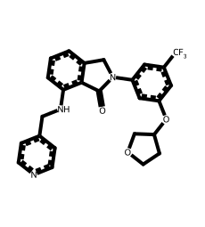 O=C1c2c(cccc2NCc2ccncc2)CN1c1cc(OC2CCOC2)cc(C(F)(F)F)c1